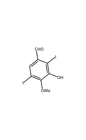 COc1c(I)cc(C=O)c(I)c1O